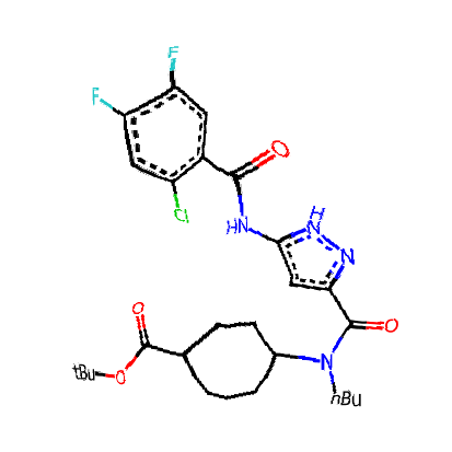 CCCCN(C(=O)c1cc(NC(=O)c2cc(F)c(F)cc2Cl)[nH]n1)C1CCC(C(=O)OC(C)(C)C)CC1